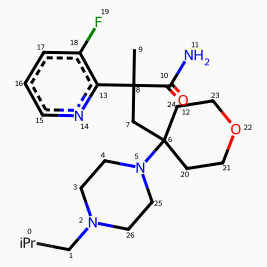 CC(C)CN1CCN(C2(CC(C)(C(N)=O)c3ncccc3F)CCOCC2)CC1